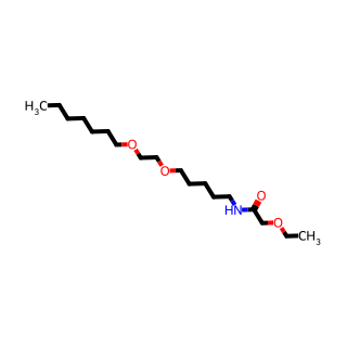 CCCCCCCOCCOCCCCCNC(=O)COCC